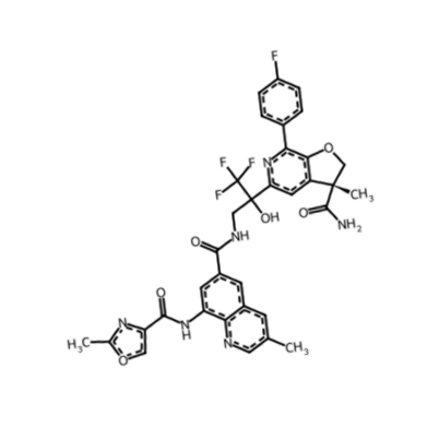 Cc1cnc2c(NC(=O)c3coc(C)n3)cc(C(=O)NCC(O)(c3cc4c(c(-c5ccc(F)cc5)n3)OC[C@]4(C)C(N)=O)C(F)(F)F)cc2c1